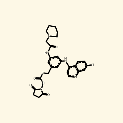 O=C(CN1CCCCC1)Nc1cc(COC(=O)ON2C(=O)CCC2=O)cc(Nc2ccnc3cc(Cl)ccc23)c1